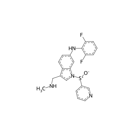 CNCc1cn([S+]([O-])c2cccnc2)c2cc(Nc3c(F)cccc3F)ccc12